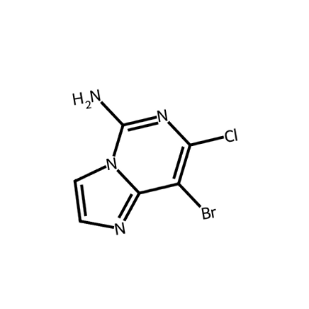 Nc1nc(Cl)c(Br)c2nccn12